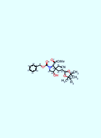 COC(=O)C1N(C(=O)OCc2ccccc2)CC(O)C1(CC#N)CCB1OC(C)(C)C(C)(C)O1